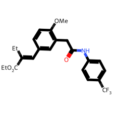 CCOC(=O)C(=Cc1ccc(OC)c(CC(=O)Nc2ccc(C(F)(F)F)cc2)c1)CC